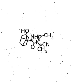 CC1CC1N(C(=O)[C@@H](N)C12CC3CC(CC(O)(C3)C1)C2)[C@@H](C)C#N